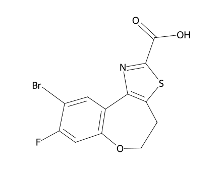 O=C(O)c1nc2c(s1)CCOc1cc(F)c(Br)cc1-2